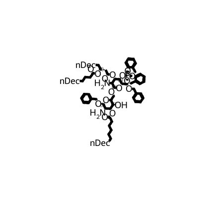 CCCCCCCCCCCCCCCC(=O)OC1C(N)[C@@H](OCc2ccccc2)OC(CO[C@@H]2OC(COCc3ccccc3)[C@@H](OP(=O)(OCc3ccccc3)OCc3ccccc3)C(OC(=O)C[C@@H](CCCCCCCCCCC)OC(=O)CCCCCCCCCCCCC)C2N)[C@H]1O